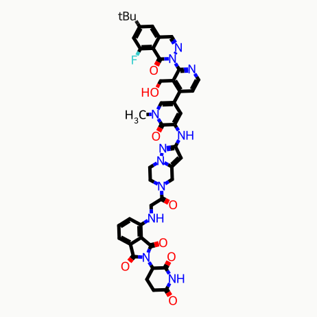 Cn1cc(-c2ccnc(-n3ncc4cc(C(C)(C)C)cc(F)c4c3=O)c2CO)cc(Nc2cc3n(n2)CCN(C(=O)CNc2cccc4c2C(=O)N(C2CCC(=O)NC2=O)C4=O)C3)c1=O